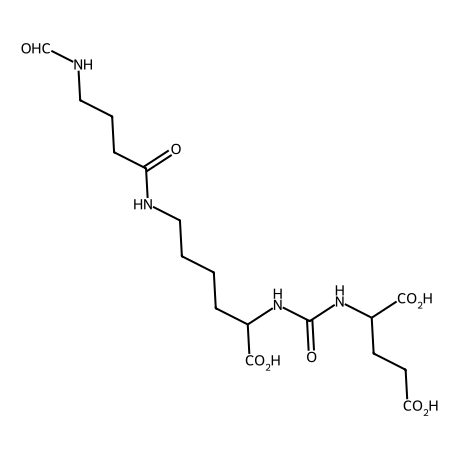 O=CNCCCC(=O)NCCCCC(NC(=O)NC(CCC(=O)O)C(=O)O)C(=O)O